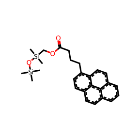 C[Si](C)(C)O[Si](C)(C)COC(=O)CCCc1ccc2ccc3cccc4ccc1c2c34